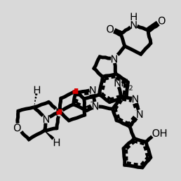 Nc1nnc(-c2ccccc2O)cc1-n1cc(N2C[C@@H]3COC[C@@H](C2)N3C2CCC(c3cccc4c3CCN4C3CCC(=O)NC3=O)CC2)cn1